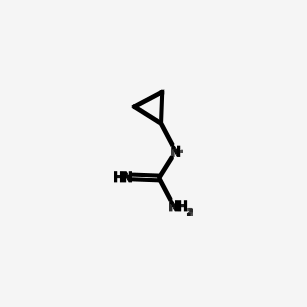 N=C(N)[N]C1CC1